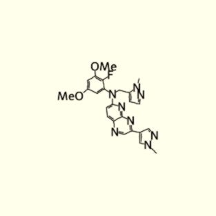 COc1cc(OC)c(F)c(N(Cc2ccnn2C)c2ccc3ncc(-c4cnn(C)c4)nc3n2)c1